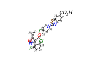 O=C(O)c1ccc2nc(N3CCC(F)(COCc4c(-c5c(F)cccc5Cl)noc4C4CC4)CC3)sc2c1